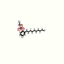 CCCCCCCCCCc1ccccc1OC(=O)OCC